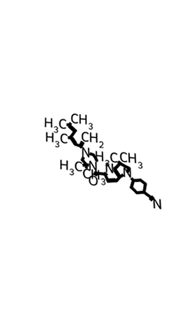 C=C(/C=C(/C)C=C(C)C)N1CCN(C(=O)c2ccc3c(n2)C(C)(C)CN3C2CCC(C#N)CC2)C(C)(C)C1